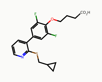 O=C(O)CCCOc1c(F)cc(-c2cccnc2SCC2CC2)cc1F